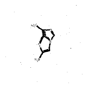 Bc1cn2cnc(C(=O)O)c2s1